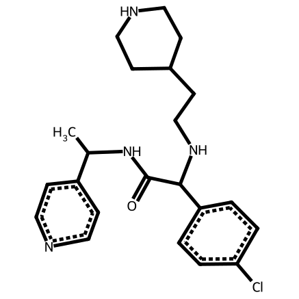 CC(NC(=O)C(NCCC1CCNCC1)c1ccc(Cl)cc1)c1ccncc1